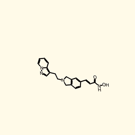 O=C(C=Cc1ccc2c(c1)CN(CCc1cnn3ccccc13)C2)NO